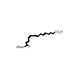 CCCCCC(=O)/C=C/C=C\C/C=C/C/C=C/CCCC(=O)O